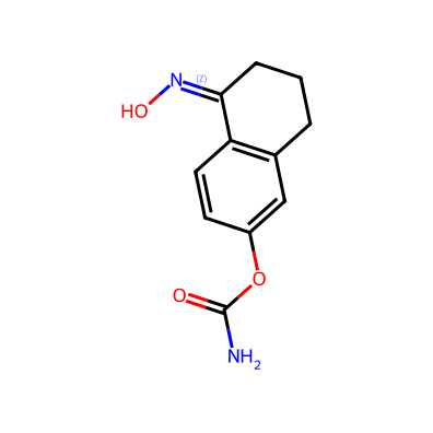 NC(=O)Oc1ccc2c(c1)CCC/C2=N/O